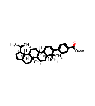 C=C(C)[C@@H]1CCC2CC[C@@]3(C)C4CC[C@@H]5C(CC=C(c6ccc(C(=O)OC)cc6)C5(C)C)[C@H]4CC[C@@H]3[C@H]21